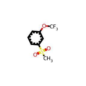 CS(=O)(=O)c1cccc(OC(F)(F)F)c1